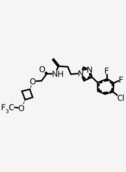 C=C(CCn1cnc(-c2ccc(Cl)c(F)c2F)c1)NC(=O)CO[C@H]1C[C@@H](OC(F)(F)F)C1